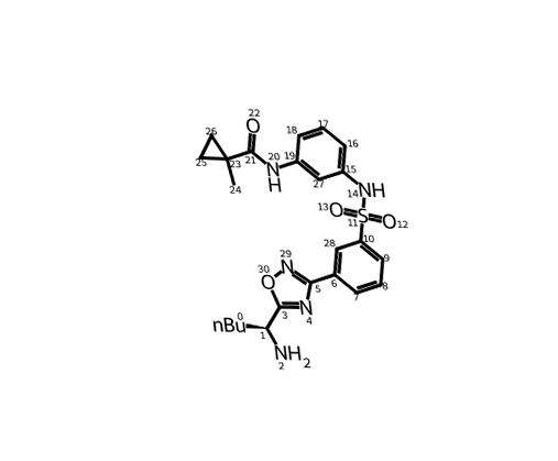 CCCC[C@H](N)c1nc(-c2cccc(S(=O)(=O)Nc3cccc(NC(=O)C4(C)CC4)c3)c2)no1